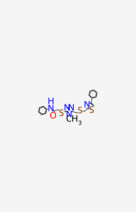 Cn1c(CSCc2nc(-c3ccccc3)cs2)nnc1SCC(=O)Nc1ccccc1